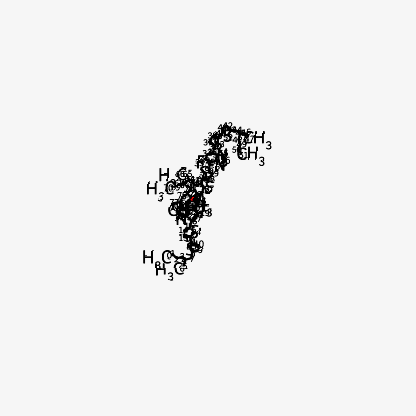 CCCCC(CC)Cc1ccc(-c2ccc(-c3cc(F)c(-c4cc5c(s4)-c4sc6cc(-c7c(F)cc(-c8ccc(-c9ccc(CC(CC)CCCC)s9)s8)c8nsnc78)sc6c4[Si]5(CC(CC)CCCC)CC(CC)CCCC)c4nsnc34)s2)s1